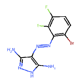 Nc1n[nH]c(N)c1N=Nc1c(Br)ccc(F)c1F